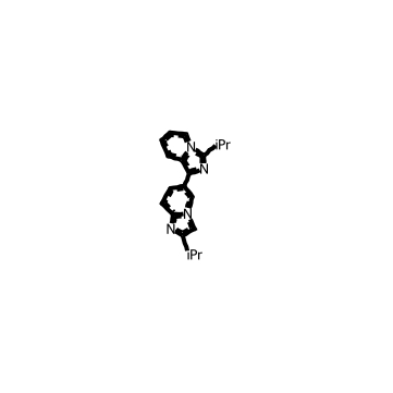 CC(C)c1cn2cc(-c3nc(C(C)C)n4ccccc34)ccc2n1